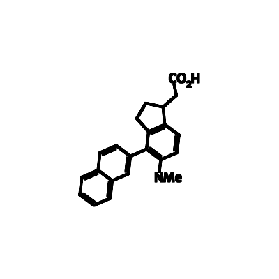 CNc1ccc2c(c1-c1ccc3ccccc3c1)CCC2CC(=O)O